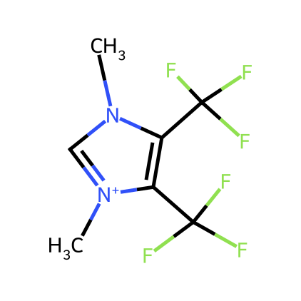 Cn1c[n+](C)c(C(F)(F)F)c1C(F)(F)F